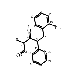 CC(C=O)C(=O)C(Cc1ccccc1F)c1ccccn1